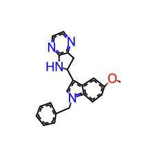 COc1ccc2c(c1)c(C1Cc3nccnc3N1)cn2Cc1ccccc1